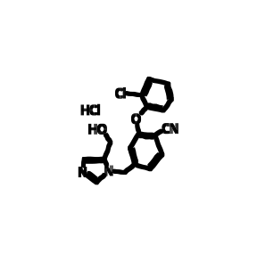 Cl.N#Cc1ccc(Cn2cncc2CO)cc1Oc1ccccc1Cl